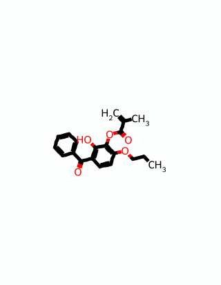 C=C(C)C(=O)Oc1c(OCCC)ccc(C(=O)c2ccccc2)c1O